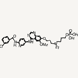 CCN(CCCCOP(=O)(O)O)CCCOc1cc2ncnc(Nc3ccc(NC(=O)c4cccc(Cl)c4)nc3)c2cc1OC